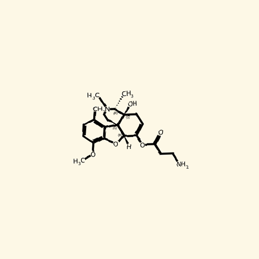 COc1ccc(C)c2c1O[C@H]1C(OC(=O)CCN)=CC[C@@]3(O)[C@@H](C)N(C)CC[C@]213